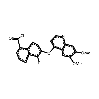 COc1cc2nccc(Oc3ccc4c(C(=O)Cl)cccc4c3F)c2cc1OC